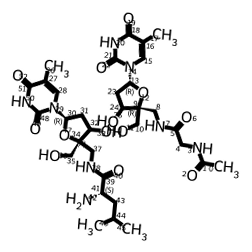 CC(=O)NCC(=O)NC[C@]1(CO)O[C@@H](n2cc(C)c(=O)[nH]c2=O)CC1O.Cc1cn([C@H]2CC(O)[C@](CO)(CNC(=O)[C@@H](N)CC(C)C)O2)c(=O)[nH]c1=O